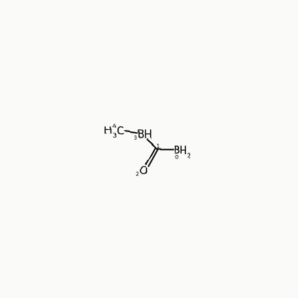 BC(=O)BC